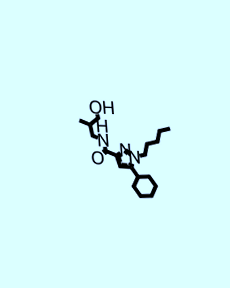 CCCCCn1nc(C(=O)NCC(C)CO)cc1C1CCCCC1